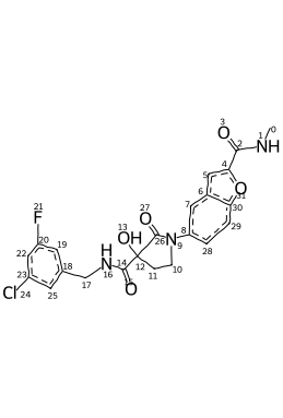 CNC(=O)c1cc2cc(N3CCC(O)(C(=O)NCc4cc(F)cc(Cl)c4)C3=O)ccc2o1